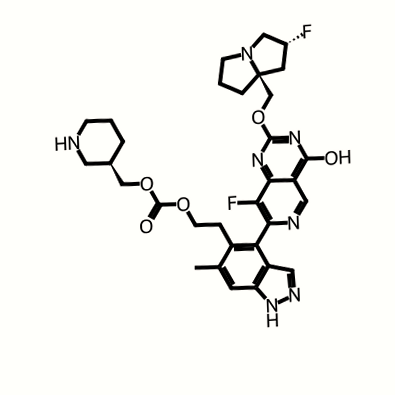 Cc1cc2[nH]ncc2c(-c2ncc3c(O)nc(OC[C@@]45CCCN4C[C@H](F)C5)nc3c2F)c1CCOC(=O)OC[C@@H]1CCCNC1